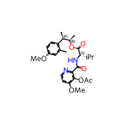 COc1ccc([C@@H](C)[C@@H](C)OC(=O)[C@@H](NC(=O)c2nccc(OC)c2OC(C)=O)C(C)C)c(C)c1